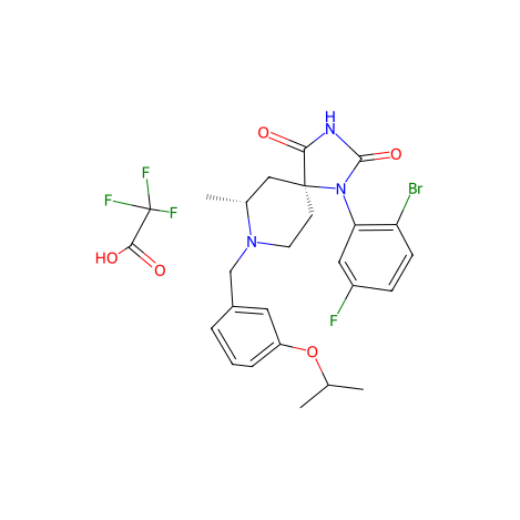 CC(C)Oc1cccc(CN2CC[C@]3(C[C@H]2C)C(=O)NC(=O)N3c2cc(F)ccc2Br)c1.O=C(O)C(F)(F)F